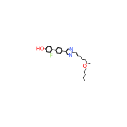 CCCCCOC(C)CCCC=Cc1ncc(-c2ccc(-c3ccc(O)cc3F)cc2)cn1